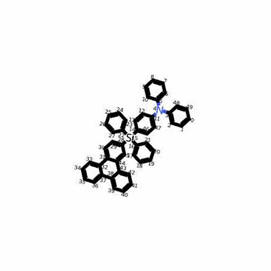 c1ccc(N(c2ccccc2)c2ccc([Si](c3ccccc3)(c3ccccc3)c3ccc4c5ccccc5c5ccccc5c4c3)cc2)cc1